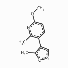 COc1ccc(-c2cnoc2C)c(C)n1